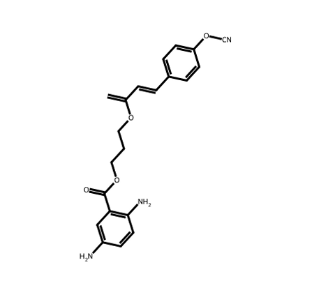 C=C(/C=C/c1ccc(OC#N)cc1)OCCCOC(=O)c1cc(N)ccc1N